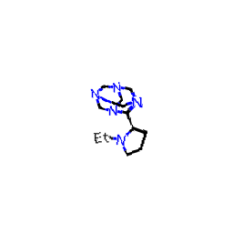 CCN1CCC[C@@H]1C1N2CN3CN(C2)CN1C3